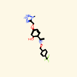 C/C(=N\OCc1ccc(C(F)(F)F)cc1)c1ccc(OCC2=NNNN2C)cc1O